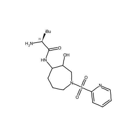 CCC(C)[C@H](N)C(=O)NC1CCCN(S(=O)(=O)c2ccccn2)CC1O